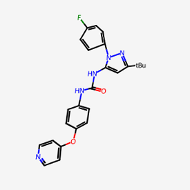 CC(C)(C)c1cc(NC(=O)Nc2ccc(Oc3ccncc3)cc2)n(-c2ccc(F)cc2)n1